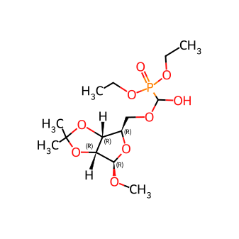 CCOP(=O)(OCC)C(O)OC[C@H]1O[C@@H](OC)[C@@H]2OC(C)(C)O[C@@H]21